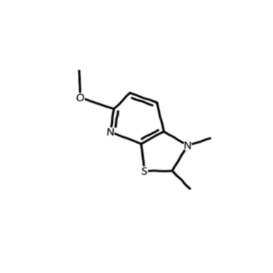 COc1ccc2c(n1)SC(C)N2C